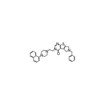 O=c1c2c3c(sc2ncn1CCN1CCN(c2cccc4ccccc24)CC1)CN(Cc1ccccc1)C3